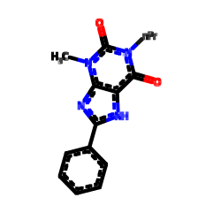 CCCn1c(=O)c2[nH]c(-c3ccccc3)nc2n(C)c1=O